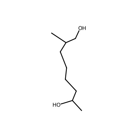 CC(O)CCCCC(C)CO